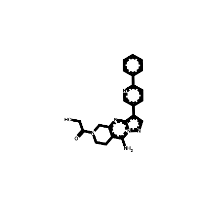 Nc1c2c(nc3c(-c4ccc(-c5ccccc5)nc4)cnn13)CN(C(=O)CO)CC2